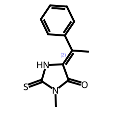 C/C(=C1/NC(=S)N(C)C1=O)c1ccccc1